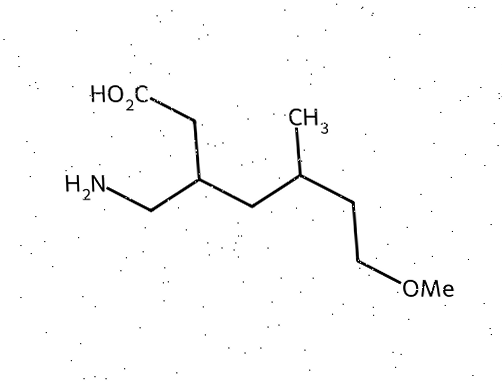 COCCC(C)CC(CN)CC(=O)O